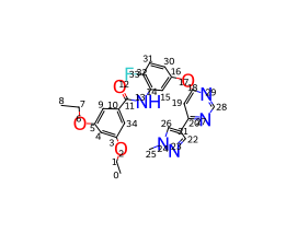 CCOc1cc(OCC)cc(C(=O)Nc2cc(Oc3cc(-c4cnn(C)c4)ncn3)ccc2F)c1